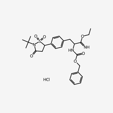 CCOC(=N)C(Cc1ccc(C2CC(=O)N(C(C)(C)C)S2(=O)=O)cc1)NC(=O)OCc1ccccc1.Cl